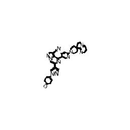 CCC1(c2ncccn2)CCN(c2ccc(-c3nc(-c4cnn(C5CCC(=O)CC5)c4)cn4ncc(C#N)c34)cn2)CC1